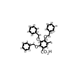 Cc1cc(C(=O)O)c(OCc2ccccc2)c(OCc2ccccc2)c1OCc1ccccc1